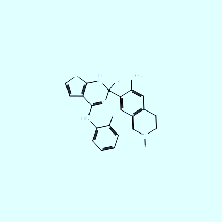 COc1cc2c(cc1C1(N)N=C(Nc3ccccc3Cl)c3cc[nH]c3N1)CN(C)CC2